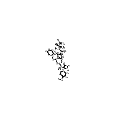 COc1ccc(C2(C(=O)N(CCCc3ccccc3)Cc3nc(C(=O)NS(=O)(=O)N(C)C)c(C)s3)CCC2)cc1